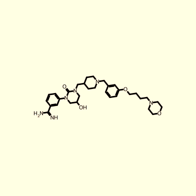 N=C(N)c1cccc(N2CC(O)CN(CC3CCN(Cc4cccc(OCCCCN5CCOCC5)c4)CC3)C2=O)c1